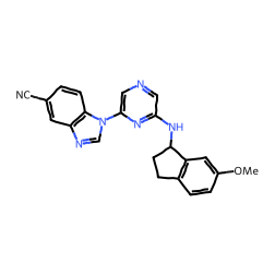 COc1ccc2c(c1)C(Nc1cncc(-n3cnc4cc(C#N)ccc43)n1)CC2